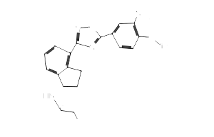 CC(C)Oc1ccc(-c2nc(-c3cccc4c3CC[C@@H]4N[C@@H](C)CO)no2)cc1N